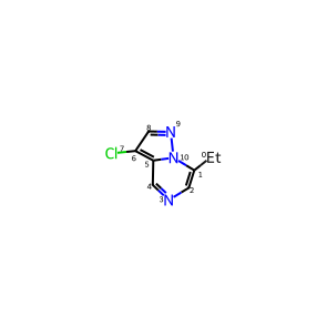 CCc1cncc2c(Cl)cnn12